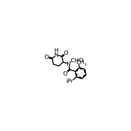 Cc1cccc(C(C)C)c1C(=O)N(C=O)C1CCC(=O)NC1=O